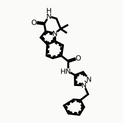 CC1(C)CNC(=O)c2cc3ccc(C(=O)Nc4cnn(Cc5ccccc5)c4)cc3n21